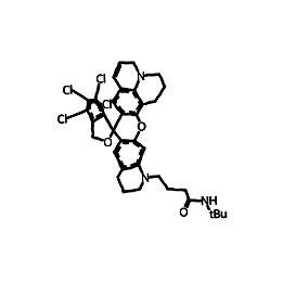 CC(C)(C)NC(=O)CCCN1CCCc2cc3c(cc21)Oc1c(cc2c4c1CCCN4CC=C2)C31OCc2c(Cl)c(Cl)c(Cl)c(Cl)c21